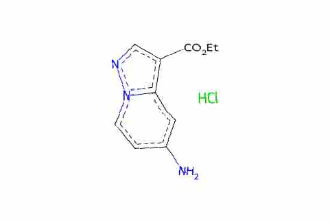 CCOC(=O)c1cnn2ccc(N)cc12.Cl